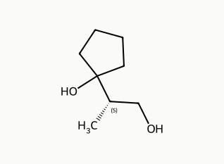 C[C@@H](CO)C1(O)CCCC1